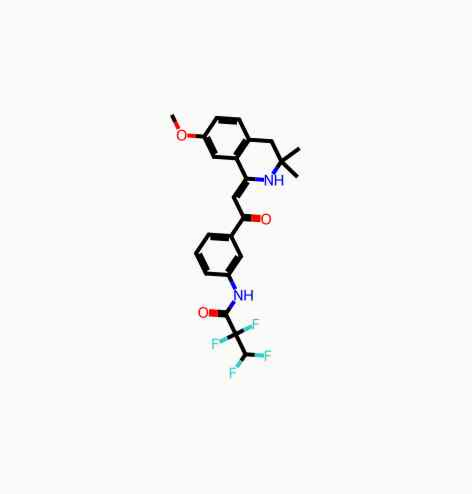 COc1ccc2c(c1)C(=CC(=O)c1cccc(NC(=O)C(F)(F)C(F)F)c1)NC(C)(C)C2